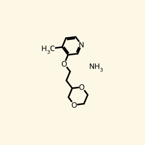 Cc1ccncc1OCCC1COCCO1.N